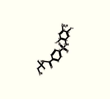 CC(C)(CC#N)NC(=O)c1ccc(S(=O)(=O)Nc2cc(F)c(C(=O)O)cc2F)cc1